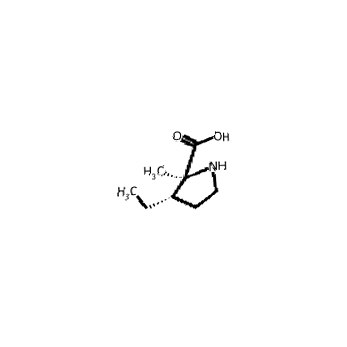 CC[C@H]1CCN[C@]1(C)C(=O)O